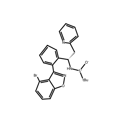 CC(C)(C)[S+]([O-])N[C@@H](Cc1ccccn1)c1ccccc1-c1noc2cccc(Br)c12